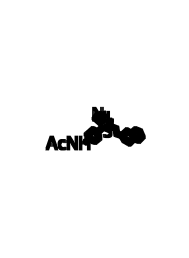 CC(=O)Nc1ccc(CSC(CCc2ccc3ccccc3c2)Cn2ccnc2)cc1